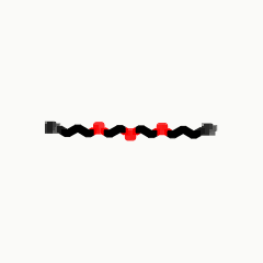 CC(C)CCCOCCOCCOCCCC(C)C